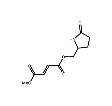 COC(=O)/C=C/C(=O)OCC1CCC(=O)N1